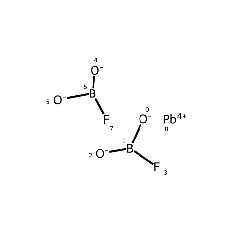 [O-]B([O-])F.[O-]B([O-])F.[Pb+4]